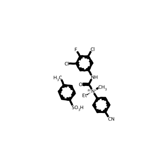 CC[N@@+](C)(C(=O)Nc1cc(Cl)c(F)c(Cl)c1)c1ccc(C#N)cc1.Cc1ccc(S(=O)(=O)O)cc1